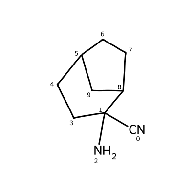 N#CC1(N)CCC2CCC1C2